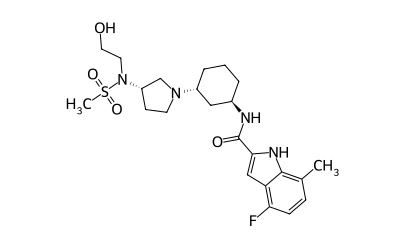 Cc1ccc(F)c2cc(C(=O)N[C@@H]3CCC[C@@H](N4CC[C@H](N(CCO)S(C)(=O)=O)C4)C3)[nH]c12